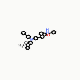 CC1(C)c2ccccc2-c2ccc(N(c3ccc(-c4ccccc4)cc3)c3ccc(-c4ccc5c6c(cccc46)C4=C5OC(c5ccccc5)N4)cc3)cc21